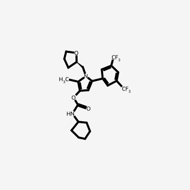 Cc1c(OC(=O)NC2CCCCC2)cc(-c2cc(C(F)(F)F)cc(C(F)(F)F)c2)n1C[C@H]1CCCO1